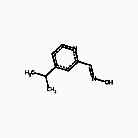 CC(C)c1ccnc(C=NO)c1